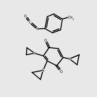 Cc1ccc(N=C=O)cc1.O=C1C=C(N2CC2)C(=O)C(N2CC2)=C1N1CC1